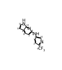 FC(F)(F)c1ccc(Nc2ccc3cc[nH]c3n2)cn1